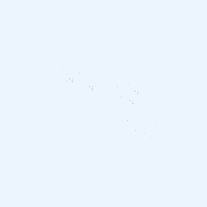 CC1(C)CN(c2ccc3c(cnn3-c3ccc(F)cc3)c2)CCN1S(C)(=O)=O